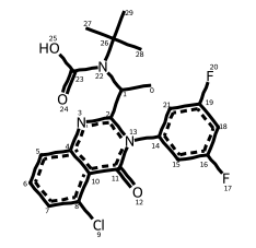 CC(c1nc2cccc(Cl)c2c(=O)n1-c1cc(F)cc(F)c1)N(C(=O)O)C(C)(C)C